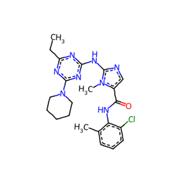 CCc1nc(Nc2ncc(C(=O)Nc3c(C)cccc3Cl)n2C)nc(N2CCCCC2)n1